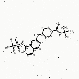 CC(C)(C)OC(=O)N1CCC(Nc2cc3c(OS(=O)(=O)C(F)(F)F)nccc3cn2)CC1